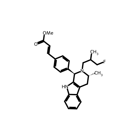 COC(=O)C=Cc1ccc([C@@H]2c3[nH]c4ccccc4c3C[C@@H](C)N2CC(C)CF)cc1